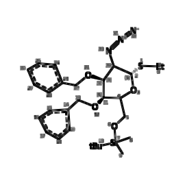 CCS[C@@H]1OC(CO[Si](C)(C)C(C)(C)C)[C@@H](OCc2ccccc2)[C@@H](OCc2ccccc2)C1N=[N+]=[N-]